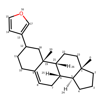 C[C@@]12CCC[C@H]1[C@@H]1CC=C3CCC(c4ccoc4)C[C@]3(C)[C@@H]1CC2